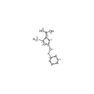 Cc1oc(OCc2ccccc2)cc1B(O)O